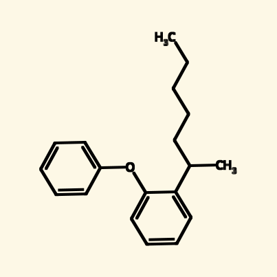 CCCCCC(C)c1ccccc1Oc1ccccc1